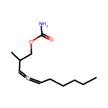 CCCCCC=C=CC(C)COC(N)=O